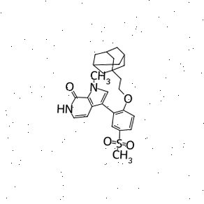 Cn1cc(-c2cc(S(C)(=O)=O)ccc2OCCC23CC4CC(CC(C4)C2)C3)c2cc[nH]c(=O)c21